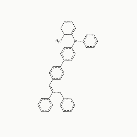 CC1CC=CC=C1N(c1ccccc1)c1ccc(-c2ccc(/C=C(\Cc3ccccc3)c3ccccc3)cc2)cc1